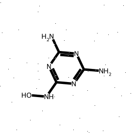 Nc1nc(N)nc(NO)n1